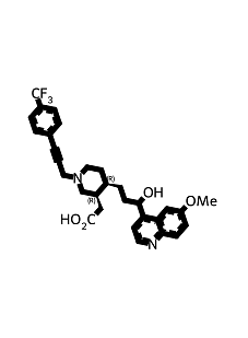 COc1ccc2nccc(C(O)CC[C@@H]3CCN(CC#Cc4ccc(C(F)(F)F)cc4)C[C@@H]3CC(=O)O)c2c1